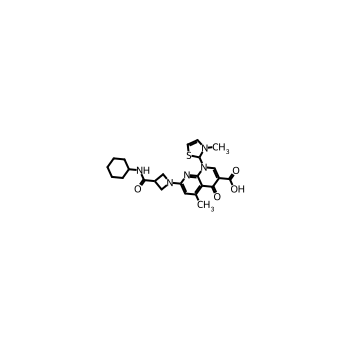 Cc1cc(N2CC(C(=O)NC3CCCCC3)C2)nc2c1c(=O)c(C(=O)O)cn2C1SC=CN1C